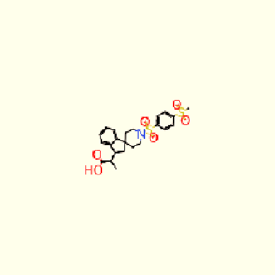 CC(C(=O)O)C1CC2(CCN(S(=O)(=O)c3ccc(S(C)(=O)=O)cc3)CC2)c2ccccc21